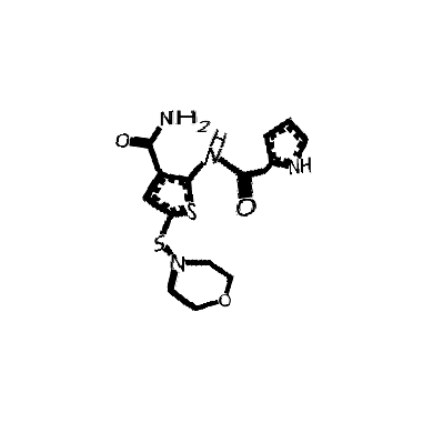 NC(=O)c1cc(SN2CCOCC2)sc1NC(=O)c1ccc[nH]1